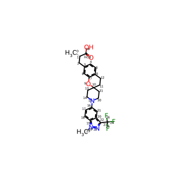 C[C@@H](Cc1ccc2c(c1)OC1(CC2)CCN(c2ccc3c(c2)c(C(F)(F)F)nn3C)CC1)C(=O)O